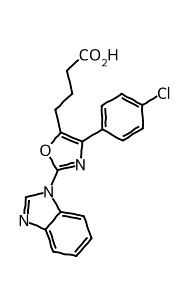 O=C(O)CCCc1oc(-n2cnc3ccccc32)nc1-c1ccc(Cl)cc1